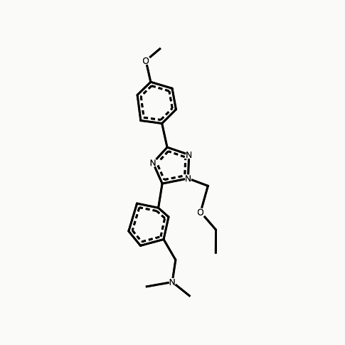 CCOCn1nc(-c2ccc(OC)cc2)nc1-c1cccc(CN(C)C)c1